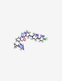 O=C(Nc1cccc(-c2nncn2C2CC2)c1)c1cc(-c2ccc(-c3ccc(Cl)nc3)nc2)ccn1